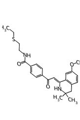 CCSCCNC(=O)c1ccc(C(=O)/C=C2\NC(C)(C)Cc3ccc(OC)cc32)cc1